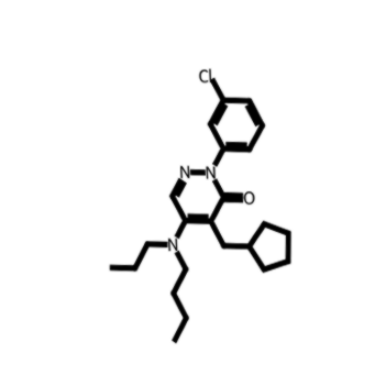 CCCCN(CCC)c1cnn(-c2cccc(Cl)c2)c(=O)c1CC1CCCC1